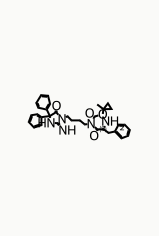 CC1(OC(=O)N(CCCCN2C(=N)NC(c3ccccc3)(c3ccccc3)C2=O)C(=O)[C@@H](N)Cc2ccccc2)CC1